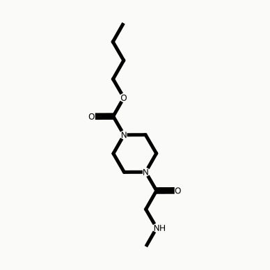 CCCCOC(=O)N1CCN(C(=O)CNC)CC1